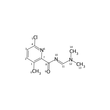 Cc1ccc(Cl)nc1C(=O)N=CN(C)C